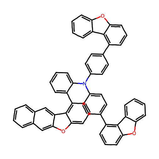 c1ccc(N(c2ccc(-c3cccc4oc5ccccc5c34)cc2)c2ccc(-c3cccc4oc5ccccc5c34)cc2)c(-c2cccc3oc4cc5ccccc5cc4c23)c1